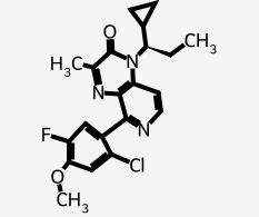 CC[C@H](C1CC1)n1c(=O)c(C)nc2c(-c3cc(F)c(OC)cc3Cl)nccc21